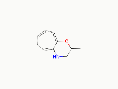 CC1CNC2=CCC=CC=C2O1